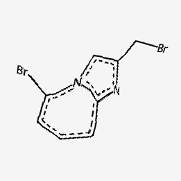 BrCc1cn2c(Br)cccc2n1